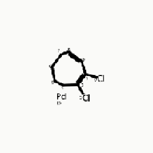 ClC1=C(\Cl)CCCC/C=C\1.[Pd]